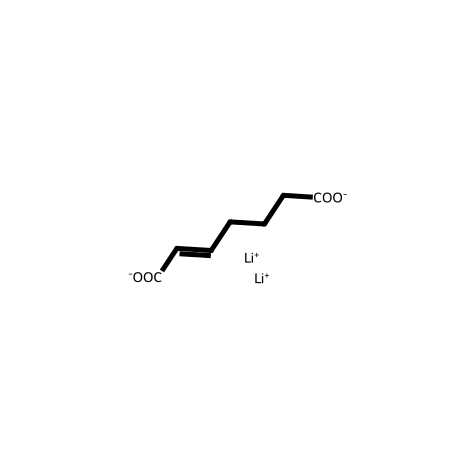 O=C([O-])C=CCCCC(=O)[O-].[Li+].[Li+]